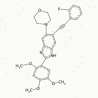 COc1cc(OC)c(-c2nc3cc(N4CCOCC4)c(C#Cc4ccccc4F)cc3[nH]2)cc1OC